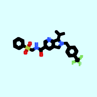 CC(C)C1c2ncc(C(=O)NCS(=O)(=O)c3ccccc3)cc2CN1Cc1ccc(C(F)(F)F)cc1